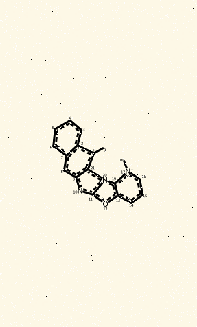 Cc1c2ccccc2cc2nc3oc4ccc[n+](C)c4n3c12